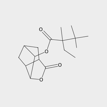 CCC(C)(C(=O)OC1C2CC3C(=O)OC1C3C2)C(C)(C)C